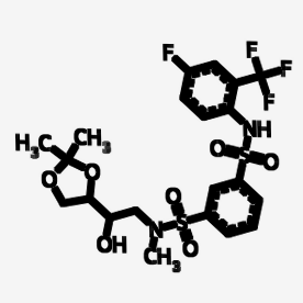 CN(CC(O)C1COC(C)(C)O1)S(=O)(=O)c1cccc(S(=O)(=O)Nc2ccc(F)cc2C(F)(F)F)c1